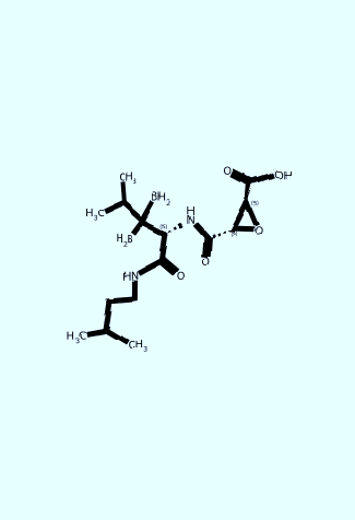 BC(B)(C(C)C)[C@H](NC(=O)[C@H]1O[C@@H]1C(=O)O)C(=O)NCCC(C)C